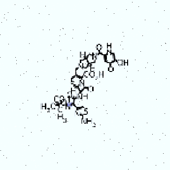 CC(C)(O/N=C(\C(=O)N[C@@H]1C(=O)N2C(C(=O)O)=C(CN3C[C@@H]4CN(C(=O)c5cc(=O)c(O)c[nH]5)C[C@@H]4C3)CS[C@H]12)c1csc(N)n1)C(=O)O